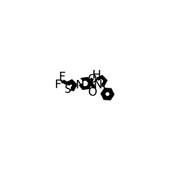 O=C1N2[C@@H](CC[C@H]2c2ccccc2)OC12CCN(c1csc(C(F)F)c1)CC2